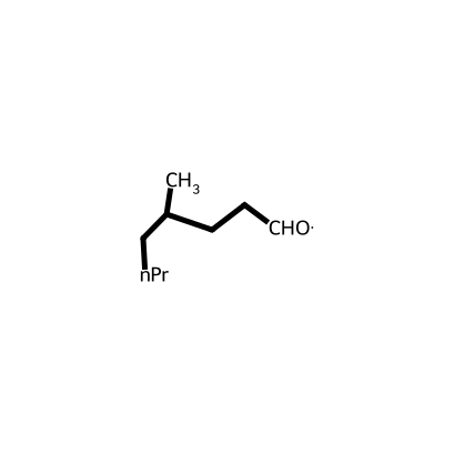 CCCCC(C)CC[C]=O